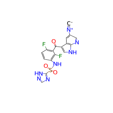 [C-]#[N+]c1cnc2[nH]cc(C(=O)c3c(F)ccc(NS(=O)(=O)c4ncn[nH]4)c3F)c2c1